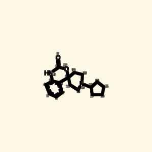 O=C1Nc2ccccc2C2(CCN(C3CCCC3)CC2)O1